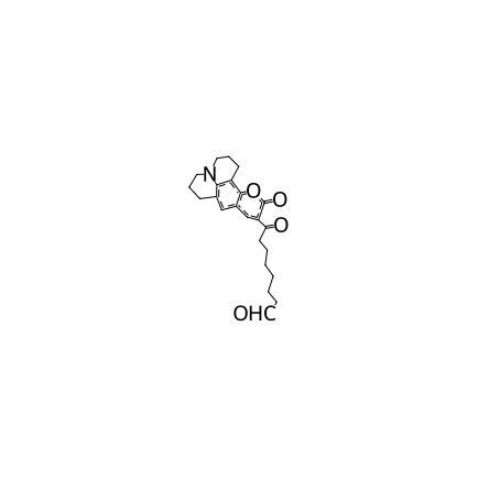 O=CCCCCCCC(=O)c1cc2cc3c4c(c2oc1=O)CCCN4CCC3